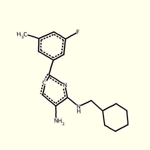 Cc1cc(F)cc(-c2ccc(N)c(NCC3CCCCC3)n2)c1